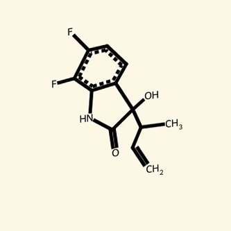 C=CC(C)C1(O)C(=O)Nc2c1ccc(F)c2F